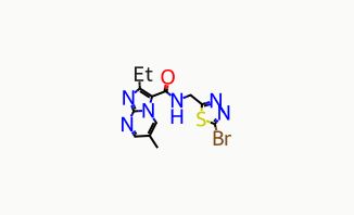 CCc1nc2ncc(C)cn2c1C(=O)NCc1nnc(Br)s1